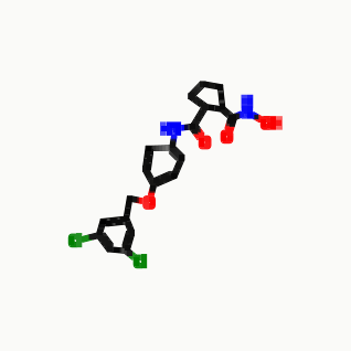 O=C(NO)C1CCCC1C(=O)Nc1ccc(OCc2cc(Cl)cc(Cl)c2)cc1